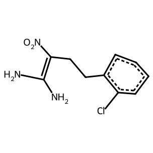 NC(N)=C(CCc1ccccc1Cl)[N+](=O)[O-]